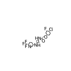 O=C(COc1ccc(Cl)c(F)c1)NC12CC(Nc3ccc(C(F)(F)F)nc3)(C1)C2